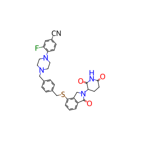 N#Cc1ccc(N2CCN(Cc3ccc(CSc4cccc5c4CN(C4CCC(=O)NC4=O)C5=O)cc3)CC2)c(F)c1